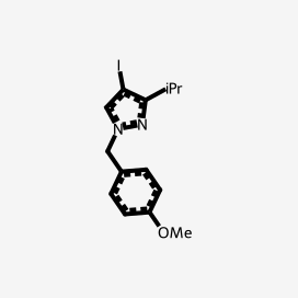 COc1ccc(Cn2cc(I)c(C(C)C)n2)cc1